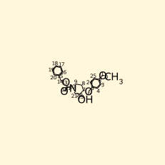 COc1ccc(O[C@H]2CCN(C(=O)OCc3ccccc3)C[C@@H]2O)cc1